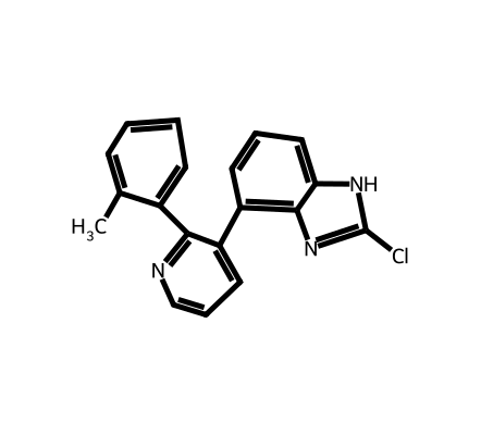 Cc1ccccc1-c1ncccc1-c1cccc2[nH]c(Cl)nc12